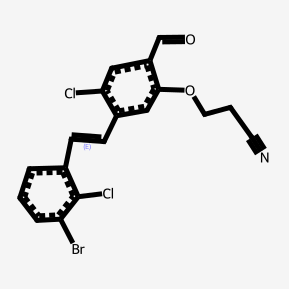 N#CCCOc1cc(/C=C/c2cccc(Br)c2Cl)c(Cl)cc1C=O